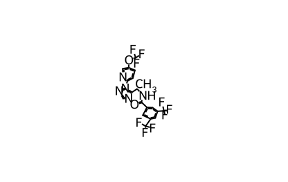 CC(NC(=O)c1cc(C(F)(F)F)cc(C(F)(F)F)c1)c1ncnn1-c1ccc(OC(F)(F)F)cn1